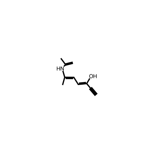 C#C/C(O)=C/C=C(\C)NC(=C)C